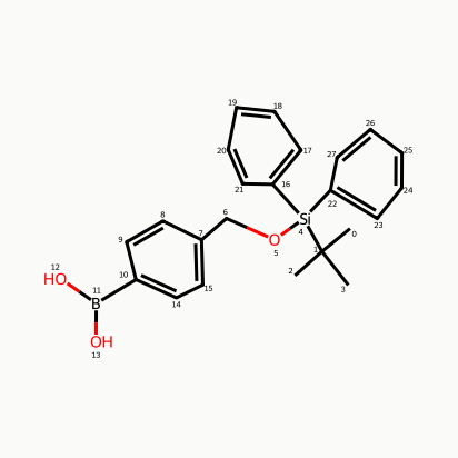 CC(C)(C)[Si](OCc1ccc(B(O)O)cc1)(c1ccccc1)c1ccccc1